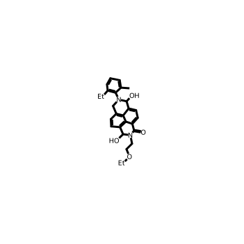 CCOCCN1C(=O)c2ccc3c4c(ccc(c24)C1O)CN(c1c(C)cccc1CC)C3O